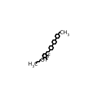 CCCCOc1ccc(CCC2CCC(C3CCC(C4CCC(CC)CC4)CC3)CC2)c(F)c1F